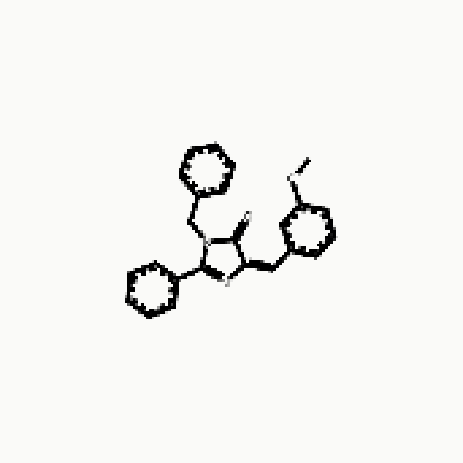 COc1cccc(C=C2N=C(c3ccccc3)N(Cc3ccccc3)C2=O)c1